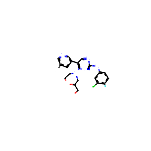 C=C(/N=C\C(=C(/N)N1CCOC(CO)C1)c1cncc(C(=O)O)c1)Nc1ccc(F)c(Cl)c1